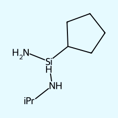 CC(C)N[SiH](N)C1CCCC1